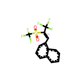 O=S(=O)(/C(=C\c1cccc2ccccc12)C(F)(F)F)C(F)(F)F